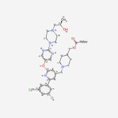 CNC(=O)OCC1CCN(Cc2cc(Oc3cnc(N4CCN(C[C@@H](C)O)CC4)nc3)nc(-c3cc(Cl)cc(Cl)c3)c2)CC1